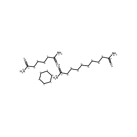 C1CCCCC1.NC(=O)CCCCC(N)=O.NC(=O)CCCCCCCCC(N)=O